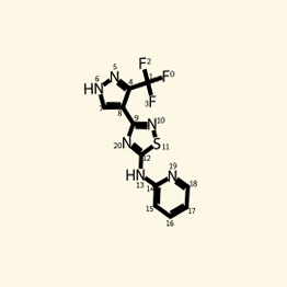 FC(F)(F)c1n[nH]cc1-c1nsc(Nc2ccccn2)n1